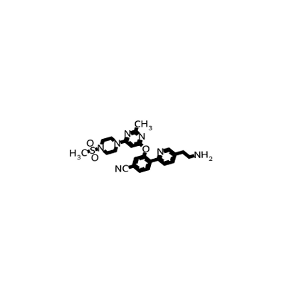 Cc1nc(Oc2cc(C#N)ccc2-c2ccc(CCN)cn2)cc(N2CCN(S(C)(=O)=O)CC2)n1